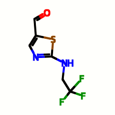 O=Cc1cnc(NCC(F)(F)F)s1